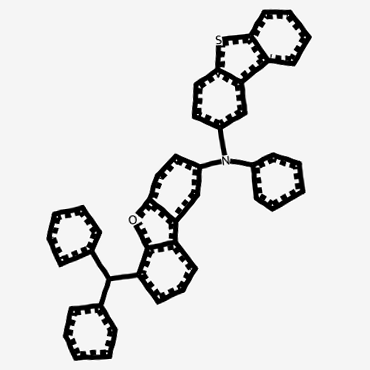 c1ccc(C(c2ccccc2)c2cccc3c2oc2ccc(N(c4ccccc4)c4ccc5sc6ccccc6c5c4)cc23)cc1